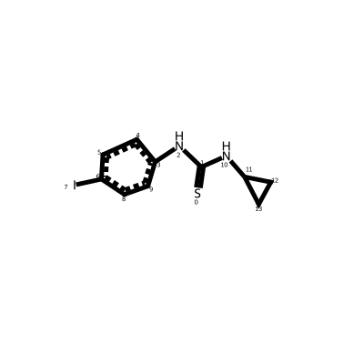 S=C(Nc1ccc(I)cc1)NC1CC1